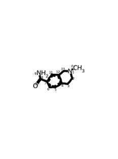 CN1CCc2ccc(C(N)=O)cc2C1